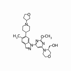 COc1nc(N2CCOC[C@@H]2CO)cc(-n2ncc3cc(C)c(C4CCN(C5CCOC5)CC4)cc32)n1